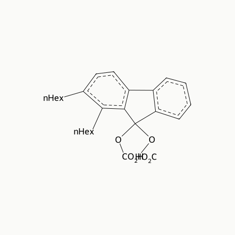 CCCCCCc1ccc2c(c1CCCCCC)C(OC(=O)O)(OC(=O)O)c1ccccc1-2